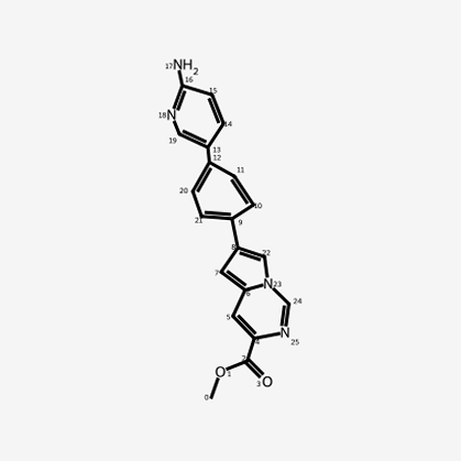 COC(=O)c1cc2cc(-c3ccc(-c4ccc(N)nc4)cc3)cn2cn1